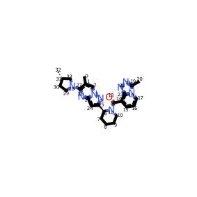 Cc1cn2nc([C@@H]3CCCCN3C(=O)c3cccn4c(C)nnc34)cc2nc1N1CC[C@H](C)C1